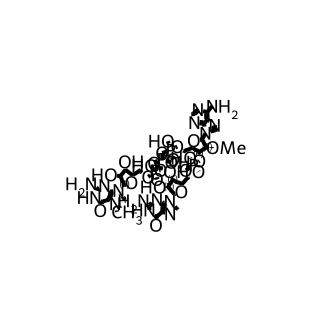 CO[C@H]1C(n2cnc3c(N)ncnc32)OC(COP(=O)(O)OP(=O)(O)OP(=O)(O)OCC2O[C@H](n3c[n+](C)c4c(=O)[nH]c(N)nc43)C(O)C2O)[C@H]1OP(=O)(O)OCC1OC(n2cnc3c(=O)[nH]c(N)nc32)[C@H](O)[C@@H]1O